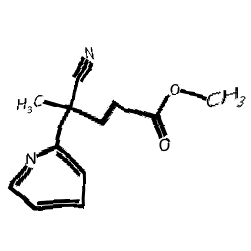 COC(=O)CCC(C)(C#N)c1ccccn1